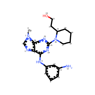 CC(C)n1cnc2c(Nc3cccc(N)c3)nc(N3CCCCC3CCO)nc21